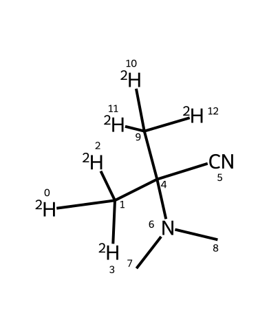 [2H]C([2H])([2H])C(C#N)(N(C)C)C([2H])([2H])[2H]